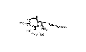 CCCCCCCCCCCCCCCCCCN(CCN)CC1CNC(CC(=O)O)CNC(CC(=O)O)CNCCN1.O=C(O)[CH2][Gd]